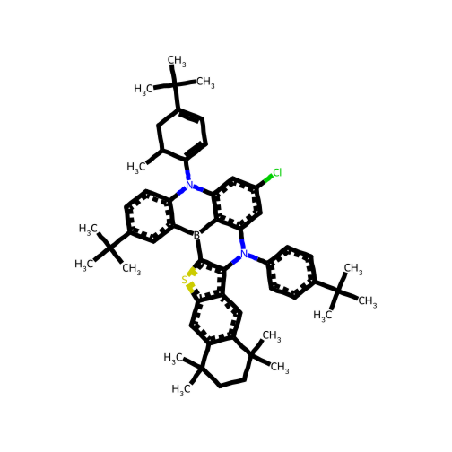 CC1CC(C(C)(C)C)=CC=C1N1c2ccc(C(C)(C)C)cc2B2c3sc4cc5c(cc4c3N(c3ccc(C(C)(C)C)cc3)c3cc(Cl)cc1c32)C(C)(C)CCC5(C)C